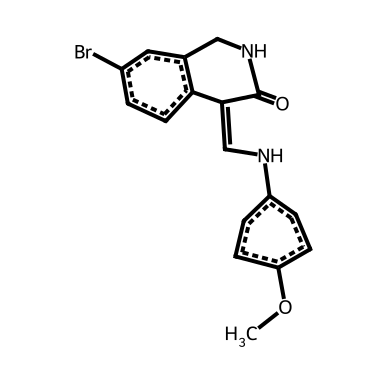 COc1ccc(NC=C2C(=O)NCc3cc(Br)ccc32)cc1